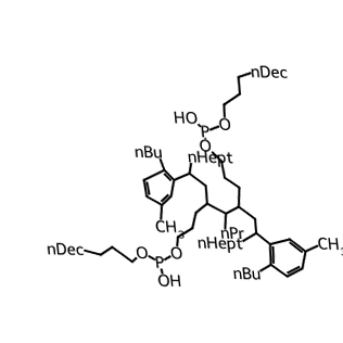 CCCCCCCCCCCCCOP(O)OCCCC(CC(CCCCCCC)c1cc(C)ccc1CCCC)C(CCC)C(CCCOP(O)OCCCCCCCCCCCCC)CC(CCCCCCC)c1cc(C)ccc1CCCC